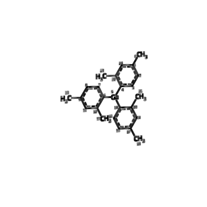 Cc1cc[c]([Ga]([c]2ccc(C)cc2C)[c]2ccc(C)cc2C)c(C)c1